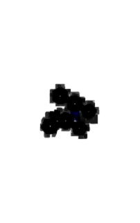 CC1(C)c2ccccc2-c2cc(C3CCCC3)c(N(c3cc(-c4ccccc4)ccc3C3CCCC3)C(C)(C)C)cc21